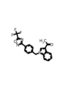 CC(=O)c1cn(Cc2ccc(-c3noc(C(F)(F)F)n3)cc2)c2ccccc12